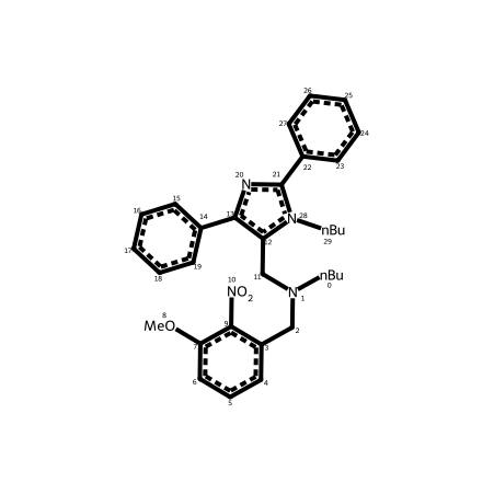 CCCCN(Cc1cccc(OC)c1[N+](=O)[O-])Cc1c(-c2ccccc2)nc(-c2ccccc2)n1CCCC